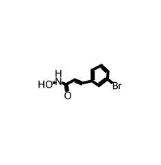 O=C(C=Cc1cccc(Br)c1)NO